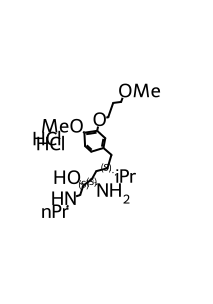 CCCNC[C@H](O)[C@@H](N)C[C@H](Cc1ccc(OC)c(OCCCOC)c1)C(C)C.Cl.Cl